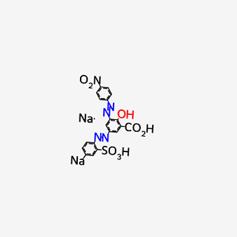 O=C(O)c1cc(N=Nc2cc[c]([Na])cc2S(=O)(=O)O)cc(N=Nc2ccc([N+](=O)[O-])cc2)c1O.[Na]